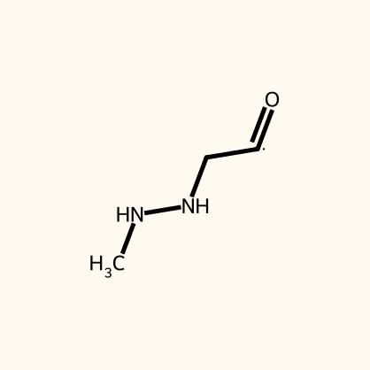 CNNC[C]=O